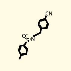 Cc1ccc([S+]([O-])N=CCc2ccc(C#N)cc2)cc1